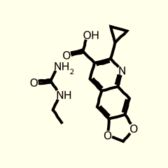 CCNC(N)=O.O=C(O)c1cc2cc3c(cc2nc1C1CC1)OCO3